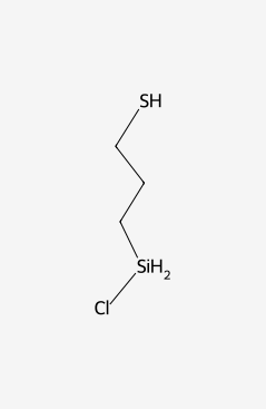 SCCC[SiH2]Cl